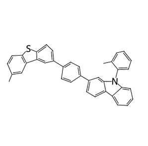 Cc1ccc2sc3ccc(-c4ccc(-c5ccc6c7ccccc7n(-c7ccccc7C)c6c5)cc4)cc3c2c1